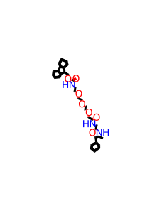 CC(Cc1ccccc1)NC(=O)CNC(=O)COCCOCCOCCNC(=O)OCC1c2ccccc2-c2ccccc21